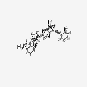 NC[C@]1(c2ccccc2F)[C@@H]2CCN(c3cnc4c(C#Cc5ccccc5F)n[nH]c4n3)C[C@@H]21